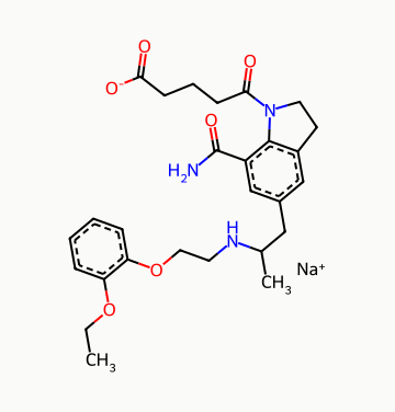 CCOc1ccccc1OCCNC(C)Cc1cc2c(c(C(N)=O)c1)N(C(=O)CCCC(=O)[O-])CC2.[Na+]